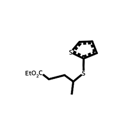 CCOC(=O)CCC(C)Sc1cccs1